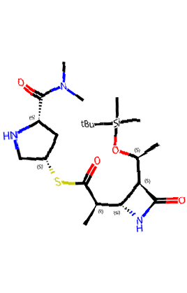 C[C@H](O[Si](C)(C)C(C)(C)C)[C@H]1C(=O)N[C@@H]1[C@@H](C)C(=O)S[C@@H]1CN[C@H](C(=O)N(C)C)C1